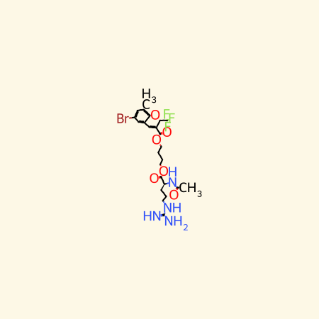 CC(=O)N[C@@H](CCCNC(=N)N)C(=O)OCCCCOC(=O)C1=Cc2cc(Br)cc(C)c2OC1C(F)(F)F